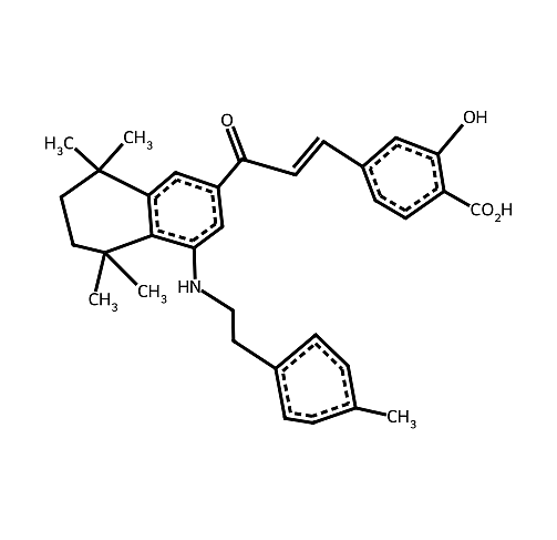 Cc1ccc(CCNc2cc(C(=O)C=Cc3ccc(C(=O)O)c(O)c3)cc3c2C(C)(C)CCC3(C)C)cc1